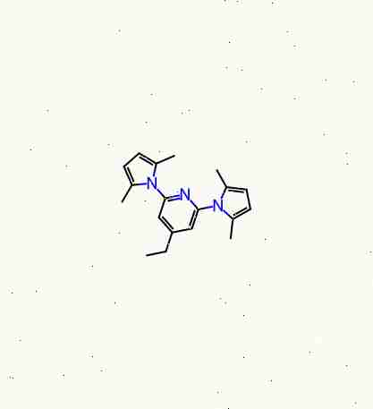 CCc1cc(-n2c(C)ccc2C)nc(-n2c(C)ccc2C)c1